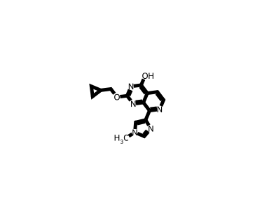 Cn1cnc(-c2nccc3c(O)nc(OCC4CC4)nc23)c1